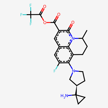 CC1CCc2c(N3CC[C@@H](C4(N)CC4)C3)c(F)cc3cc(C(=O)OC(=O)C(F)(F)F)c(=O)n1c23